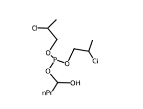 CCCC(O)OP(OCC(C)Cl)OCC(C)Cl